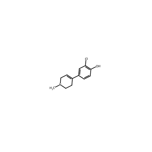 CN1CC=C(c2ccc(O)c(Cl)c2)CC1